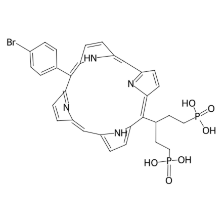 O=P(O)(O)CCC(CCP(=O)(O)O)c1c2nc(cc3ccc([nH]3)c(-c3ccc(Br)cc3)c3nc(cc4ccc1[nH]4)C=C3)C=C2